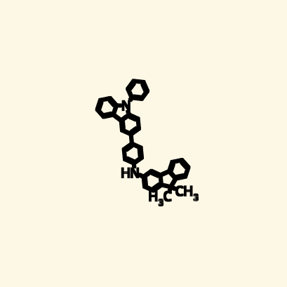 CC1(C)c2ccccc2-c2cc(Nc3ccc(-c4ccc5c(c4)c4ccccc4n5-c4ccccc4)cc3)ccc21